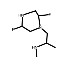 CNC(C)CN1CC(F)NCC1F